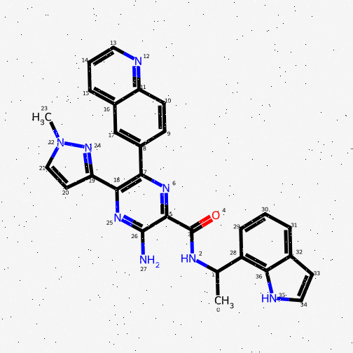 CC(NC(=O)c1nc(-c2ccc3ncccc3c2)c(-c2ccn(C)n2)nc1N)c1cccc2cc[nH]c12